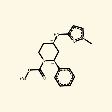 Cn1ccc(N[C@@H]2CCN(C(=O)OC(C)(C)C)[C@H](c3ccccc3)C2)n1